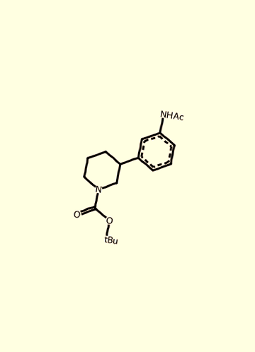 CC(=O)Nc1cccc(C2CCCN(C(=O)OC(C)(C)C)C2)c1